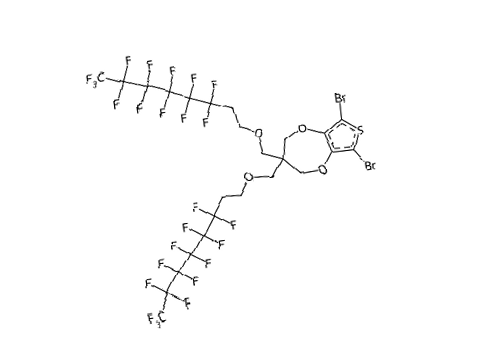 FC(F)(F)C(F)(F)C(F)(F)C(F)(F)C(F)(F)C(F)(F)CCOCC1(COCCC(F)(F)C(F)(F)C(F)(F)C(F)(F)C(F)(F)C(F)(F)F)COc2c(Br)sc(Br)c2OC1